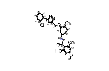 COc1cc(O)c(C(=O)/C=C/c2ccc(OC)c(OCc3cn(-c4ccccc4Cl)nn3)c2)c(OC)c1